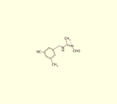 C/C(=N/C=O)NCc1cc(C)cc(C#N)c1